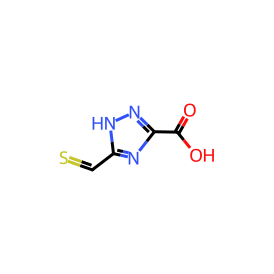 O=C(O)c1n[nH]c(C=S)n1